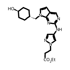 CCOC(=O)CCn1cc(Nc2ncc3ccn(C[C@H]4CC[C@H](O)CC4)c3n2)cn1